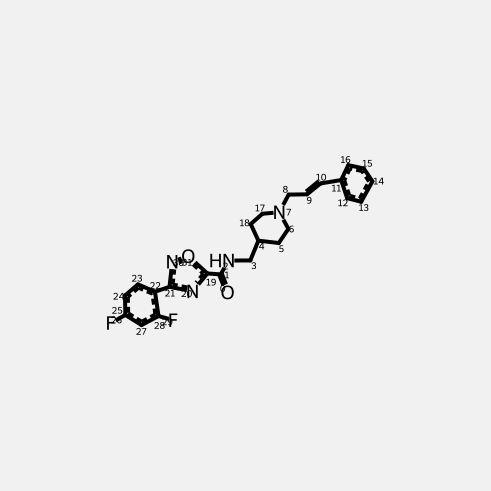 O=C(NCC1CCN(CC=Cc2ccccc2)CC1)c1nc(-c2ccc(F)cc2F)no1